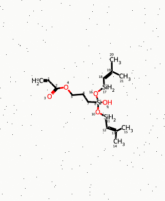 C=CC(=O)OCCC[Si](O)(O[SiH2]C=C(C)C)O[SiH2]C=C(C)C